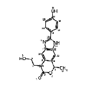 CC1OC(=O)N(CCO)c2cc3nc(-c4ccc(O)cc4)[nH]c3cc21